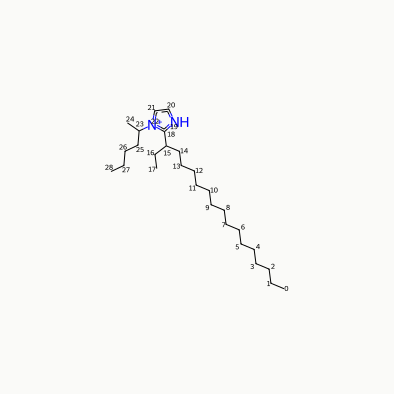 CCCCCCCCCCCCCCCC(CC)c1[nH]cc[n+]1C(C)CCCC